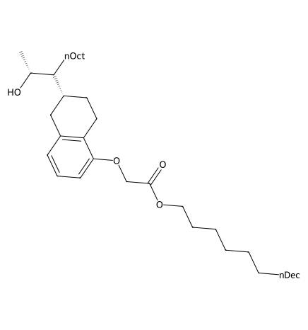 CCCCCCCCCCCCCCCCOC(=O)COc1cccc2c1CC[C@@H](C(CCCCCCCC)[C@@H](C)O)C2